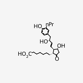 CCCc1cc(C[C@@H](O)/C=C/[C@H]2[C@H](O)CC(=O)[C@@H]2CCCCCCC(=O)O)ccc1O